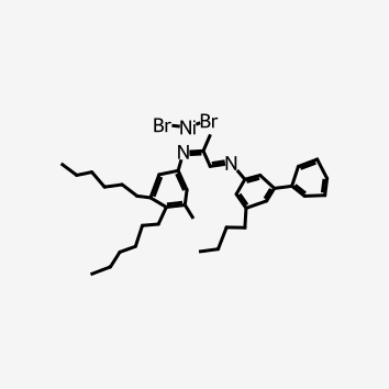 CCCCCCc1cc(N=C(C)C=Nc2cc(CCCC)cc(-c3ccccc3)c2)cc(C)c1CCCCCC.[Br][Ni][Br]